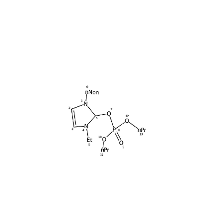 CCCCCCCCCN1C=CN(CC)C1OP(=O)(OCCC)OCCC